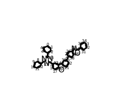 c1ccc(-c2nc(-c3ccccc3)nc(-c3ccc4oc5ccc(-c6ccc7nc(-c8ccccc8)oc7c6)cc5c4c3)n2)cc1